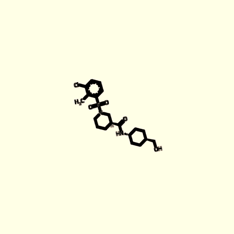 Cc1c(Cl)cccc1S(=O)(=O)N1CCC[C@H](C(=O)N[C@H]2CC[C@H](CO)CC2)C1